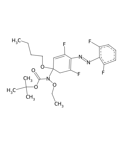 CCCCOC1(N(OCC)C(=O)OC(C)(C)C)C=C(F)C(N=Nc2c(F)cccc2F)=C(F)C1